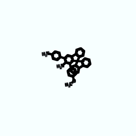 COc1ccc(-c2c(N)c(-c3ccc(N)cc3)cc3c2C2(c4ccccc4-c4ccccc42)c2ccccc2-3)cc1